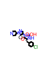 Cc1c(NC(=O)[C@H](Cc2ccc(Cl)cc2)NC(=O)O)cnn1-c1ccncc1